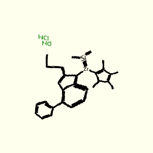 CCCC1=Cc2c(-c3ccccc3)cccc2[CH]1[Zr]([C]1=C(C)C(C)=C(C)C1C)=[Si](C)C.Cl.Cl